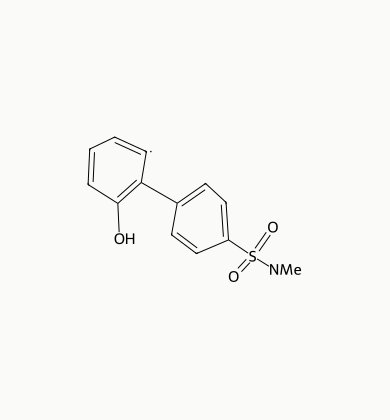 CNS(=O)(=O)c1ccc(-c2[c]cccc2O)cc1